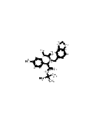 CC(C)(C)NC(=O)C(c1ccc(O)cc1)N(Cc1ccc2c(c1)OCO2)C(=O)CCl